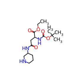 CCOC(=O)C(CC(=O)NC1CCCNC1)NC(=O)OC(C)(C)C